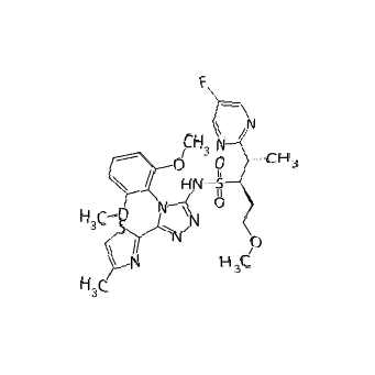 COCC[C@H]([C@@H](C)c1ncc(F)cn1)S(=O)(=O)Nc1nnc(-c2nc(C)cs2)n1-c1c(OC)cccc1OC